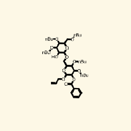 C=CCOC1OC(COC2OC(COCCCC)C(OCCCC)C(OCCCC)C2O)C(OCCCC)C(OCCCC)C1OC(=O)c1ccccc1